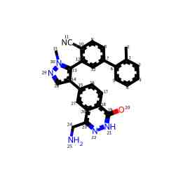 Cc1ccccc1-c1ccc(C#N)c(-c2c(-c3ccc4c(=O)[nH]nc(CN)c4c3)cnn2C)c1